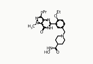 CCCc1nn(C)c2c(=O)[nH]c(-c3cc(CN4CCC(C(=O)NO)CC4)ccc3OCC)nc12